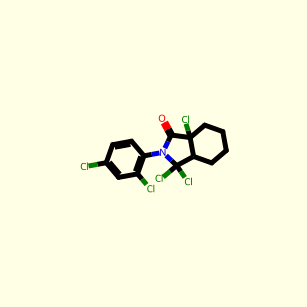 O=C1N(c2ccc(Cl)cc2Cl)C(Cl)(Cl)C2CCCCC12Cl